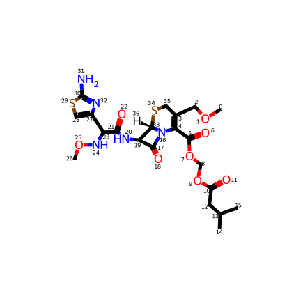 COCC1=C(C(=O)OCOC(=O)CC(C)C)N2C(=O)C(NC(=O)C(NOC)c3csc(N)n3)[C@@H]2SC1